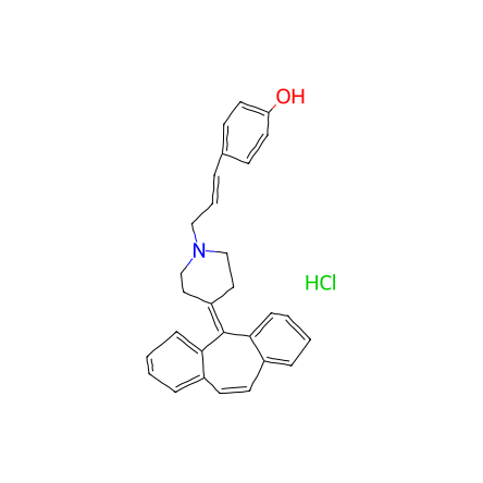 Cl.Oc1ccc(C=CCN2CCC(=C3c4ccccc4C=Cc4ccccc43)CC2)cc1